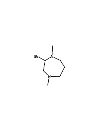 CN1CCCN(C)C(C(C)(C)C)C1